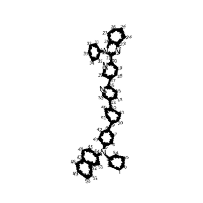 c1ccc(N(c2ccc(-c3ccc(-c4ccc(-c5ccc(-c6nc7ccccc7n6-c6ccccc6)nc5)nc4)cc3)cc2)c2ccc3ccccc3c2)cc1